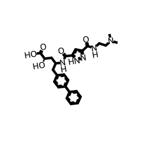 CN(C)CCNC(=O)c1cc(C(=O)NC(Cc2ccc(-c3ccccc3)cc2)C[C@@H](O)C(=O)O)[nH]n1